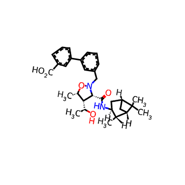 C[C@@H]1[C@@H](NC(=O)[C@@H]2[C@H]([C@H](C)O)[C@H](C)ON2Cc2cccc(-c3cccc(C(=O)O)c3)c2)C[C@H]2C[C@@H]1C2(C)C